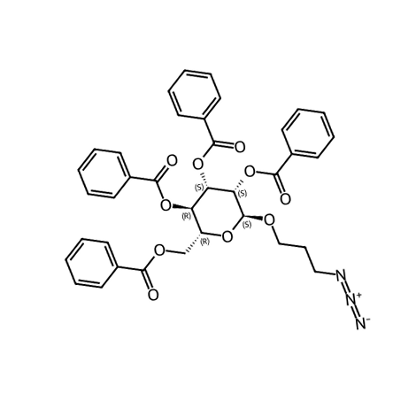 [N-]=[N+]=NCCCO[C@H]1O[C@H](COC(=O)c2ccccc2)[C@@H](OC(=O)c2ccccc2)[C@H](OC(=O)c2ccccc2)[C@@H]1OC(=O)c1ccccc1